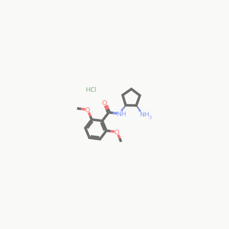 COc1cccc(OC)c1C(=O)N[C@H]1CCC[C@H]1N.Cl